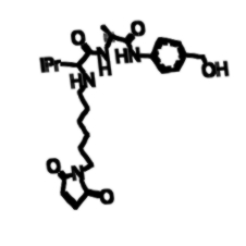 CC(C)C(NCCCCCCN1C(=O)C=CC1=O)C(=O)N[C@@H](C)C(=O)Nc1ccc(CO)cc1